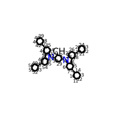 Cc1cc(-n2c3ccc(-c4ccccc4)cc3c3cc(-c4ccccc4)ccc32)ccc1-n1c2ccc(-c3ccccc3)cc2c2cc(-c3ccccc3)ccc21